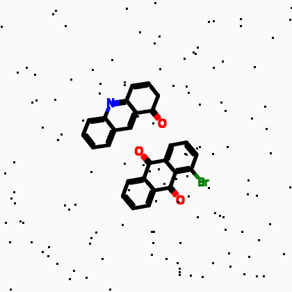 O=C1CC=Cc2nc3ccccc3cc21.O=C1c2ccccc2C(=O)c2c(Br)cccc21